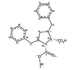 CC(C)OC(=O)[C@H]1[C@@H](C(=O)O)N(Cc2ccccc2)CN1Cc1ccccc1